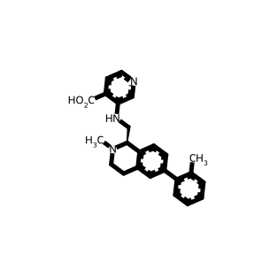 Cc1ccccc1-c1ccc2c(c1)CCN(C)[C@H]2CNc1cnccc1C(=O)O